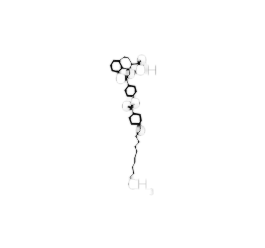 CCCCCCCCCCOc1ccc(C(=O)Oc2ccc(C(=O)OC3c4ccccc4CCC3C(=O)O)cc2)cc1